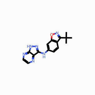 CC(C)(C)c1noc2cc(Nc3n[nH]c4nccnc34)ccc12